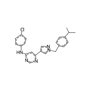 CC(C)c1ccc(Cn2cc(-c3cc(Nc4ccc(Cl)cc4)ncn3)cn2)cc1